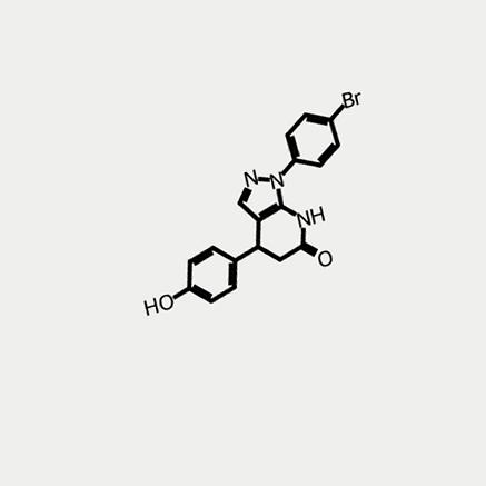 O=C1CC(c2ccc(O)cc2)c2cnn(-c3ccc(Br)cc3)c2N1